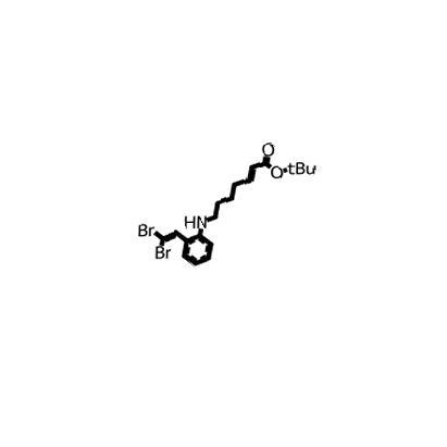 CC(C)(C)OC(=O)C=CCCCCNc1ccccc1C=C(Br)Br